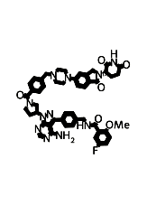 COc1ccc(F)cc1C(=O)NCc1ccc(-c2nn(C3CCN(C(=O)c4ccc(CN5CCN(c6ccc7c(c6)CN([C@H]6CCC(=O)NC6=O)C7=O)CC5)cc4)C3)c3ncnc(N)c23)cc1